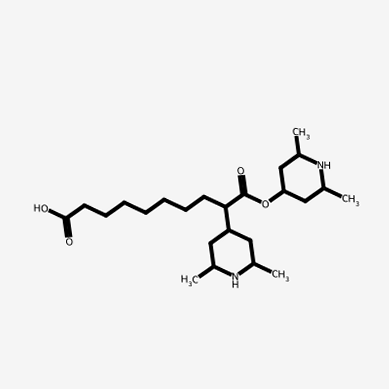 CC1CC(OC(=O)C(CCCCCCCC(=O)O)C2CC(C)NC(C)C2)CC(C)N1